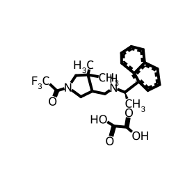 C[C@@H](NCC1CN(C(=O)C(F)(F)F)CC1(C)C)c1cccc2ccccc12.O=C(O)C(=O)O